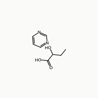 CCC(O)C(=O)O.c1cncnc1